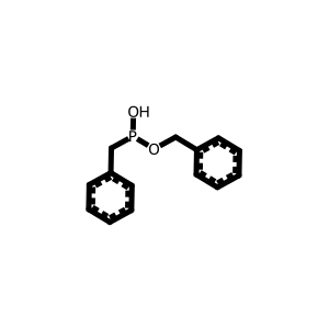 OP(Cc1ccccc1)OCc1ccccc1